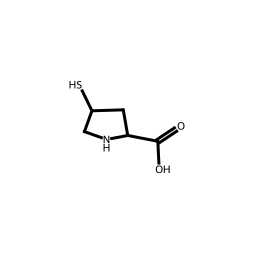 O=C(O)C1CC(S)CN1